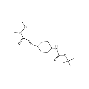 CON(C)C(=O)/C=C/C1CCC(NC(=O)OC(C)(C)C)CC1